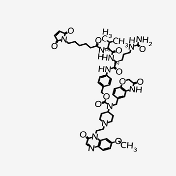 COc1ccc2ncc(=O)n(CCN3CCC(N(Cc4ccc5c(c4)NC(=O)CO5)C(=O)OCc4ccc(NC(=O)[C@H](CCCNC(N)=O)NC(=O)[C@@H](NC(=O)CCCCCN5C(=O)C=CC5=O)C(C)C)cc4)CC3)c2c1